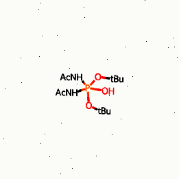 CC(=O)NP(O)(NC(C)=O)(OC(C)(C)C)OC(C)(C)C